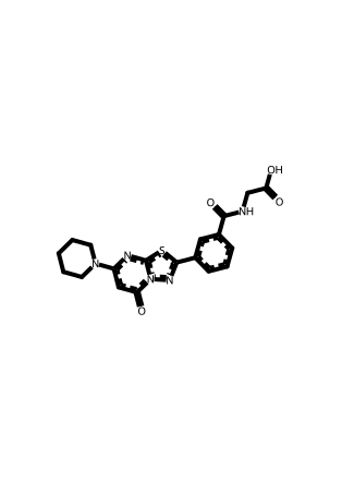 O=C(O)CNC(=O)c1cccc(-c2nn3c(=O)cc(N4CCCCC4)nc3s2)c1